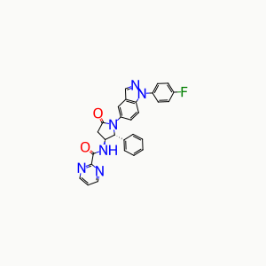 O=C(N[C@H]1CC(=O)N(c2ccc3c(cnn3-c3ccc(F)cc3)c2)[C@@H]1c1ccccc1)c1ncccn1